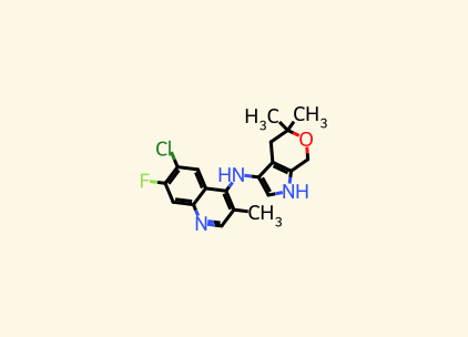 Cc1cnc2cc(F)c(Cl)cc2c1Nc1c[nH]c2c1CC(C)(C)OC2